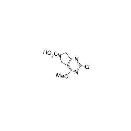 COc1nc(Cl)nc2c1CN(C(=O)O)C2